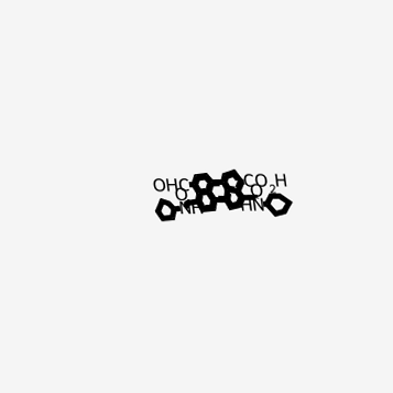 O=Cc1ccc2c3ccc(C(=O)O)c4c(C(=O)NC5CCCCC5)ccc(c5ccc(C(=O)NC6CCCCC6)c1c25)c43